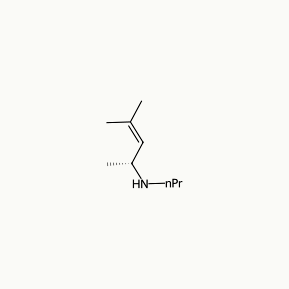 CCCN[C@H](C)C=C(C)C